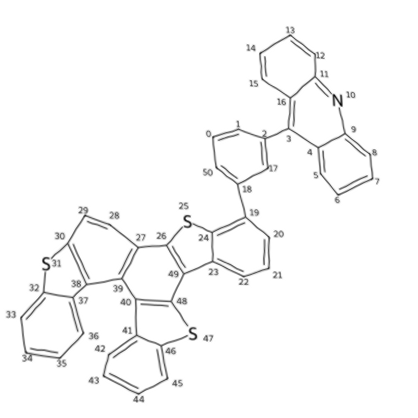 c1cc(-c2c3ccccc3nc3ccccc23)cc(-c2cccc3c2sc2c4ccc5sc6ccccc6c5c4c4c5ccccc5sc4c32)c1